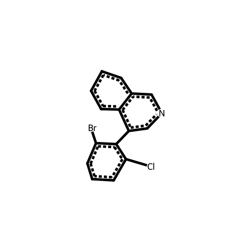 Clc1cccc(Br)c1-c1cncc2ccccc12